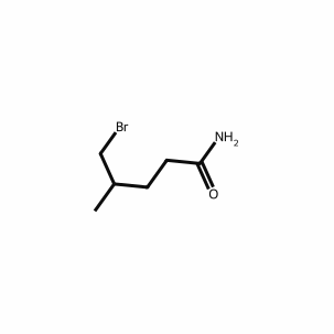 CC(CBr)CCC(N)=O